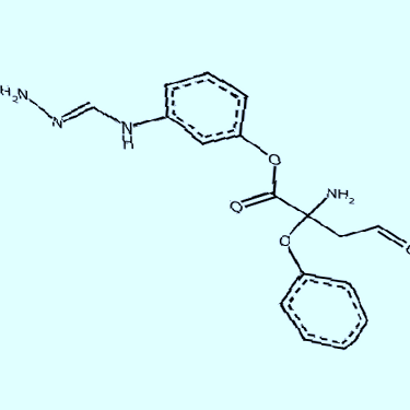 NN=CNc1cccc(OC(=O)C(N)(CC=O)Oc2ccccc2)c1